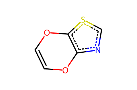 C1=COc2scnc2O1